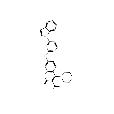 CC(=O)c1c(N2CCOCC2)c2ccc(Nc3nccc(-n4ccc5ccccc54)n3)cc2oc1=O